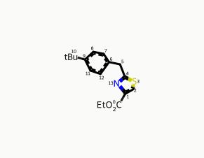 CCOC(=O)c1csc(Cc2ccc(C(C)(C)C)cc2)n1